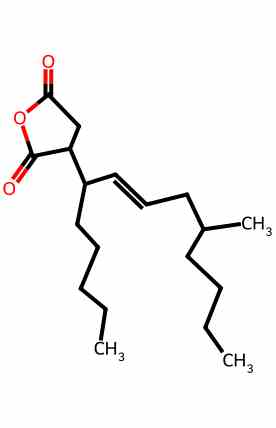 CCCCCC(C=CCC(C)CCCC)C1CC(=O)OC1=O